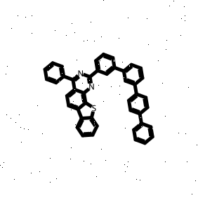 c1ccc(-c2ccc(-c3cccc(-c4cccc(-c5nc(-c6ccccc6)c6ccc7c8ccccc8sc7c6n5)c4)c3)cc2)cc1